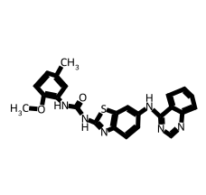 COc1ccc(C)cc1NC(=O)Nc1nc2ccc(Nc3ncnc4ccccc34)cc2s1